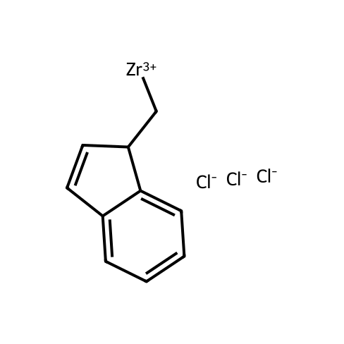 [Cl-].[Cl-].[Cl-].[Zr+3][CH2]C1C=Cc2ccccc21